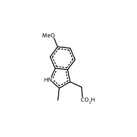 COc1ccc2c(CC(=O)O)c(C)[nH]c2c1